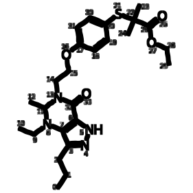 CCCc1n[nH]c2c1N(CC)C(C)N(CCOc1ccc(SC(C)(C)C(=O)OCC)cc1)C2=O